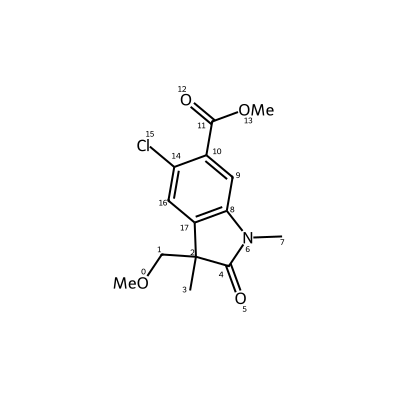 COCC1(C)C(=O)N(C)c2cc(C(=O)OC)c(Cl)cc21